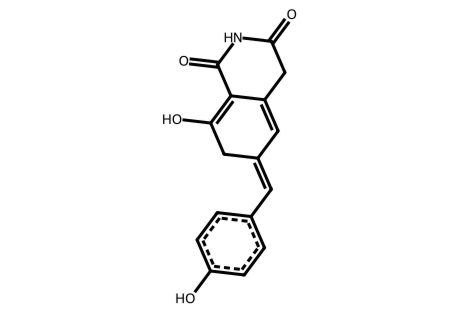 O=C1CC2=CC(=Cc3ccc(O)cc3)CC(O)=C2C(=O)N1